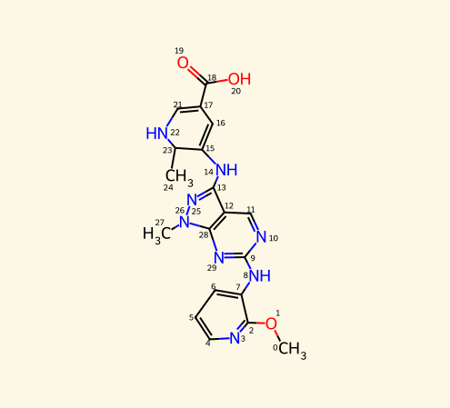 COc1ncccc1Nc1ncc2c(NC3=CC(C(=O)O)=CNC3C)nn(C)c2n1